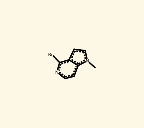 Cn1ccc2c(Br)nccc21